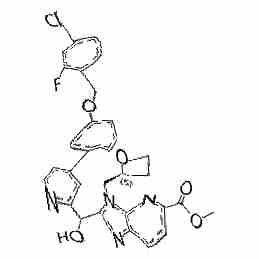 COC(=O)c1ccc2nc(C(O)c3cc(-c4cccc(OCc5ccc(Cl)cc5F)c4)ccn3)n(C[C@@H]3CCO3)c2n1